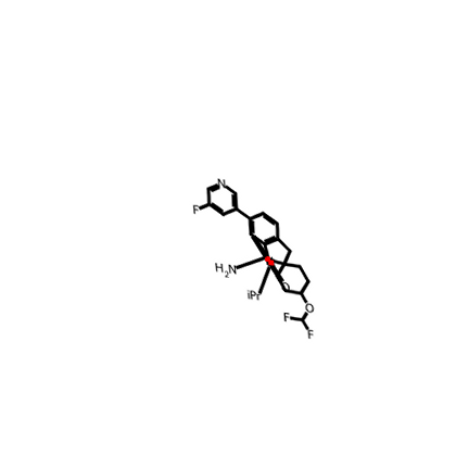 CC(C)N1C(=O)C2(N=C1N)c1cc(-c3cncc(F)c3)ccc1CC21CCC(OC(F)F)CC1